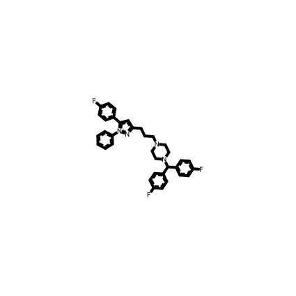 Fc1ccc(-c2cc(CCCN3CCN(C(c4ccc(F)cc4)c4ccc(F)cc4)CC3)nn2-c2ccccc2)cc1